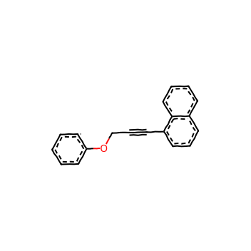 C(#Cc1cccc2ccccc12)COc1[c]cccc1